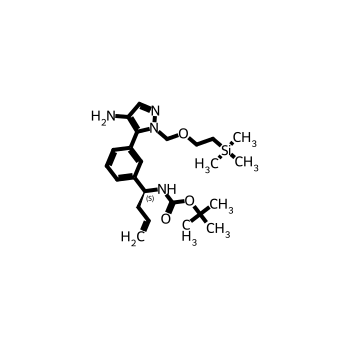 C=CC[C@H](NC(=O)OC(C)(C)C)c1cccc(-c2c(N)cnn2COCC[Si](C)(C)C)c1